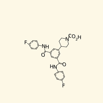 O=C(Nc1ccc(F)cc1)c1cc(C(=O)Nc2ccc(F)cc2)cc(C2CCN(C(=O)O)CC2)c1